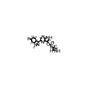 Cn1nc(-c2cnc3[nH]cc(OC(=O)NC4(C)CNC4)c3n2)c2ccc(F)cc21